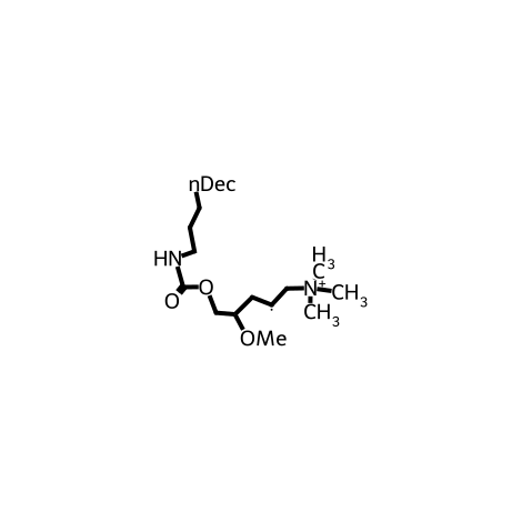 CCCCCCCCCCCCCNC(=O)OCC(C[CH]C[N+](C)(C)C)OC